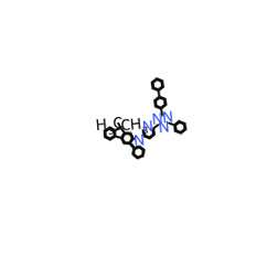 CC1(C)c2ccccc2-c2cc3c4ccccc4n(-c4ccc(-c5nc(-c6ccccc6)nc(-c6ccc(-c7ccccc7)cc6)n5)nc4)c3cc21